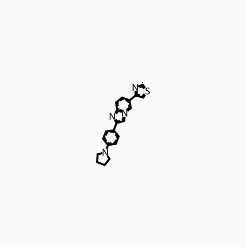 [c]1nc(-c2ccc3nc(-c4ccc(N5CCCC5)cc4)cn3c2)cs1